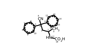 CC(CC(C#N)(c1ccccc1)c1ccccc1)NC(=O)O